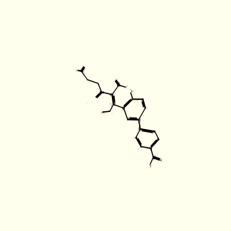 O=C(O)CCC(=O)c1c(CO)c2cc(-c3ccc(C(=O)O)cc3)ccc2[nH]c1=O